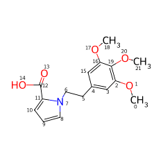 COc1cc(CCn2cccc2C(=O)O)cc(OC)c1OC